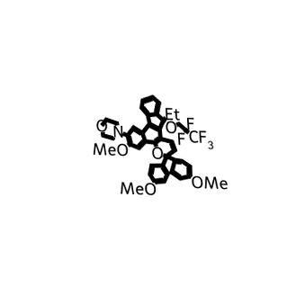 CCC1(OCC(F)(F)C(F)(F)F)c2ccccc2-c2c1c1c(c3cc(OC)c(N4CCOCC4)cc23)OC(c2ccc(OC)cc2)(c2ccc(OC)cc2)C=C1